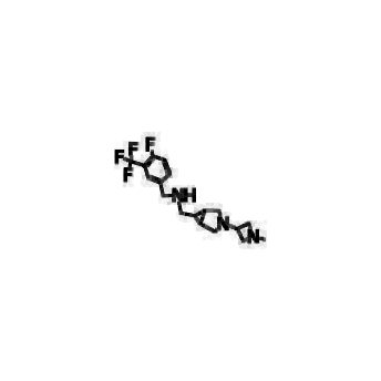 CN1CC(N2CC3C(CNCc4ccc(F)c(C(F)(F)F)c4)C3C2)C1